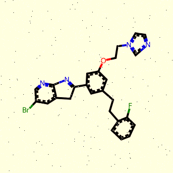 Fc1ccccc1CCc1cc(OCCn2ccnc2)cc(C2=Nc3ncc(Br)cc3C2)c1